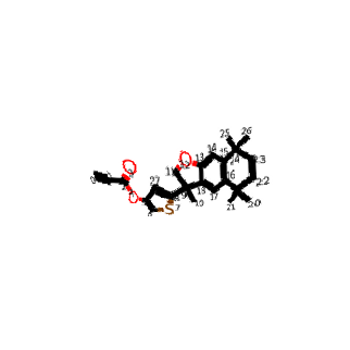 C#CC(=O)Oc1csc(C2(C)COc3cc4c(cc32)C(C)(C)CCC4(C)C)c1